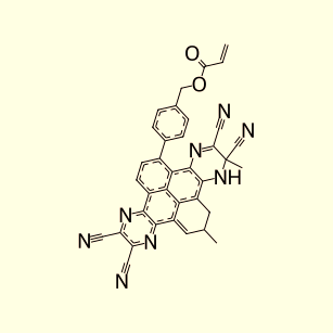 C=CC(=O)OCc1ccc(-c2ccc3c4nc(C#N)c(C#N)nc4c4c5c(c6c(c2c53)N=C(C#N)C(C)(C#N)N6)CC(C)C=4)cc1